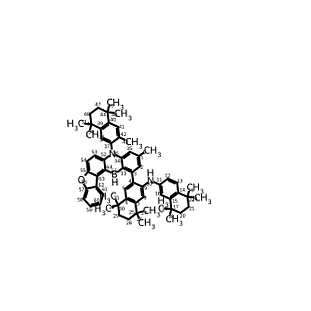 Cc1cc(-c2cc3c(cc2Nc2ccc4c(c2)C(C)(C)CCC4(C)C)C(C)(C)CCC3(C)C)c2c(c1)N(c1cc3c(cc1C)C(C)(C)CCC3(C)C)c1ccc3oc4ccccc4c3c1B2